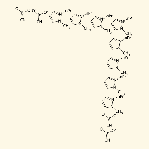 CCC[n+]1cccn1C.CCC[n+]1cccn1C.CCC[n+]1cccn1C.CCC[n+]1cccn1C.CCC[n+]1cccn1C.CCC[n+]1cccn1C.CCC[n+]1cccn1C.CCC[n+]1cccn1C.N#CB([O-])[O-].N#CB([O-])[O-].N#CB([O-])[O-].N#CB([O-])[O-]